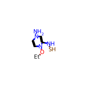 CCON1C=CN(N)C=C1NS